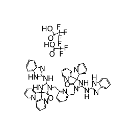 O=C(O)C(F)(F)F.O=C(O)C(F)(F)F.O=C1N(Cc2cccc(CN3C(=O)C(c4ccccn4)(c4ccccn4)NC3Nc3nc4ccccc4[nH]3)n2)C(Nc2nc3ccccc3[nH]2)NC1(c1ccccn1)c1ccccn1